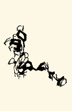 O=C1N[C@]2(CC(F)(F)c3cc(-c4cnn(C5CN(C6COC6)C5)c4)ccc32)C(=O)N1CC(=O)N(Cc1ccc(Cl)cc1)C1(C(F)(F)F)CC(F)(F)C1